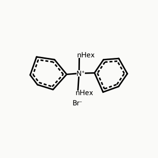 CCCCCC[N+](CCCCCC)(c1ccccc1)c1ccccc1.[Br-]